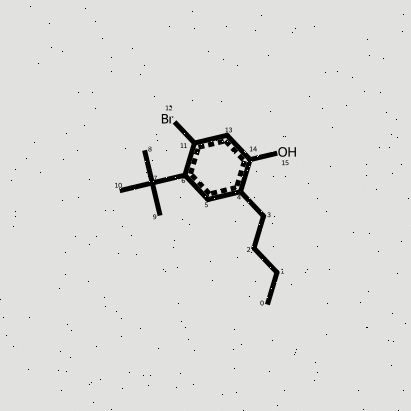 CCCCc1cc(C(C)(C)C)c(Br)cc1O